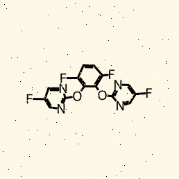 Fc1cnc(Oc2c(F)ccc(F)c2Oc2ncc(F)cn2)nc1